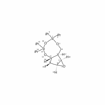 CC(C)[Si]1(C(C)C)OC[C@H]2[C@H]3O[C@H]3[C@@H](F)[C@@H]2O[Si](C(C)C)(C(C)C)O1